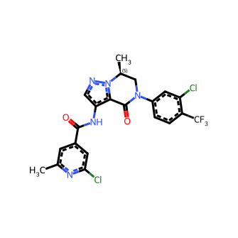 Cc1cc(C(=O)Nc2cnn3c2C(=O)N(c2ccc(C(F)(F)F)c(Cl)c2)C[C@@H]3C)cc(Cl)n1